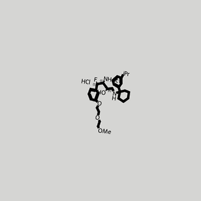 COCCOCCOc1cccc([C@H](F)[C@@H](NC(C)=O)[C@H](O)CNC2(c3cccc(C(C)C)c3)CCCCC2)c1.Cl